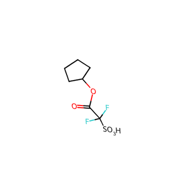 O=C(OC1CCCC1)C(F)(F)S(=O)(=O)O